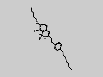 CCCCCCCc1ccc(CCC2=Cc3ccc(OCCCCC)c(F)c3C(F)(F)O2)cc1